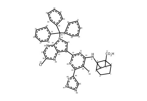 O=C(O)C1C2CCC(CC2)C1Nc1nc(-c2cn(C(c3ccccc3)(c3ccccc3)c3ccccc3)c3ncc(Cl)nc23)nc(-c2cnns2)c1F